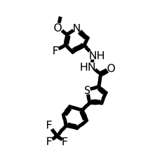 COc1ncc(NNC(=O)c2ccc(-c3ccc(C(F)(F)F)cc3)s2)cc1F